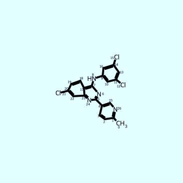 Cc1ccc(-c2nc(Nc3cc(Cl)cc(Cl)c3)c3ccc(Cl)cc3n2)cn1